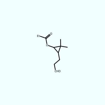 CCC(=O)OC1C(CCC=O)C1(C)C